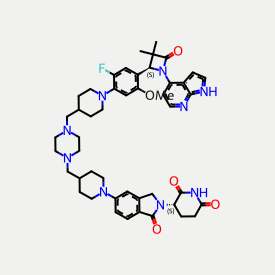 COc1cc(N2CCC(CN3CCN(CC4CCN(c5ccc6c(c5)CN([C@H]5CCC(=O)NC5=O)C6=O)CC4)CC3)CC2)c(F)cc1[C@@H]1N(c2ccnc3[nH]ccc23)C(=O)C1(C)C